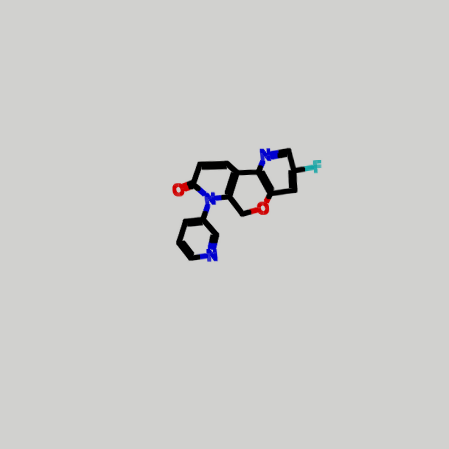 O=c1ccc2c(n1-c1cccnc1)COc1cc(F)cnc1-2